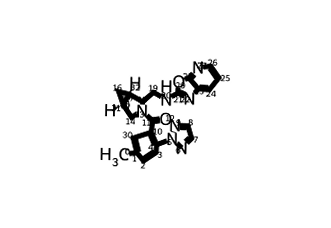 Cc1ccc(-n2nccn2)c(C(=O)N2C[C@H]3C[C@H]3C2CNc2nc3cccnc3o2)c1